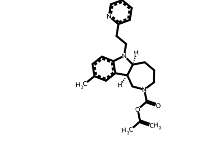 C=C(C)OC(=O)N1CCC[C@H]2[C@@H](C1)c1cc(C)ccc1N2CCc1ccccn1